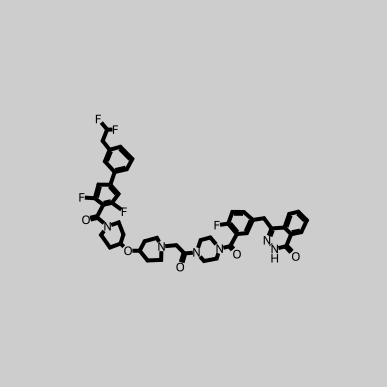 O=C(CN1CCC(OC2CCN(C(=O)c3c(F)cc(-c4cccc(CC(F)F)c4)cc3F)CC2)CC1)N1CCN(C(=O)c2cc(Cc3n[nH]c(=O)c4ccccc34)ccc2F)CC1